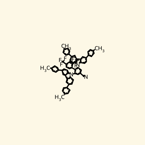 Cc1ccc(-c2ccc3c(c2)c2cc(-c4ccc(C)cc4)ccc2n3-c2cc(C#N)cc(-n3c4ccc(-c5ccc(C)cc5)cc4c4cc(-c5ccc(C)cc5)ccc43)c2-c2ccc(C(F)(F)F)cc2C(F)(F)F)cc1